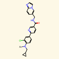 CC(=O)N(CC1CC1)c1ccc(-c2ccc(C(=O)NCc3ccc4nccn4c3)cn2)cc1Cl